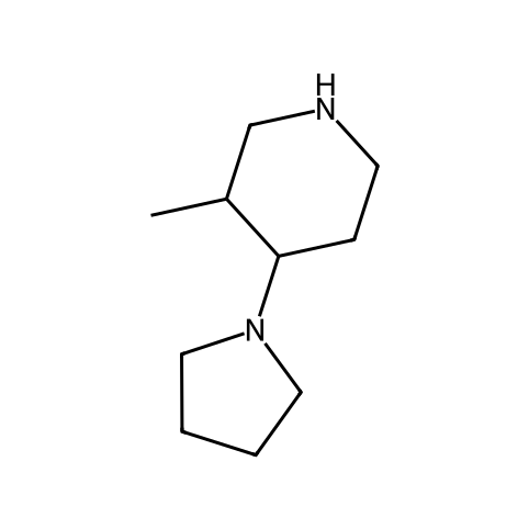 CC1CNCCC1N1CCCC1